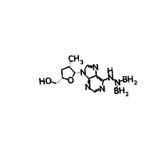 BN(B)Nc1ncnc2c1ncn2[C@@H]1O[C@H](CO)C[C@@H]1C